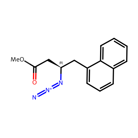 COC(=O)C[C@@H](Cc1cccc2ccccc12)N=[N+]=[N-]